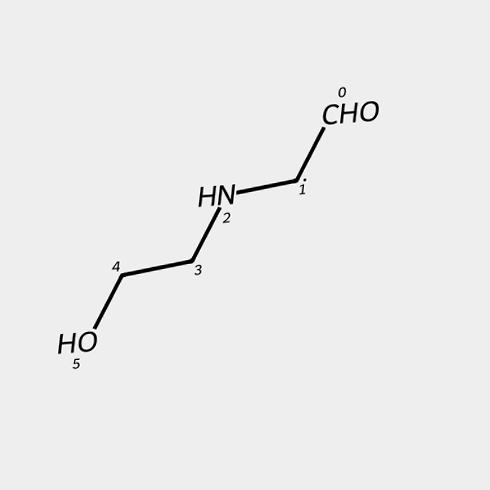 O=C[CH]NCCO